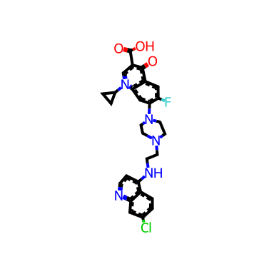 O=C(O)c1cn(C2CC2)c2cc(N3CCN(CCNc4ccnc5cc(Cl)ccc45)CC3)c(F)cc2c1=O